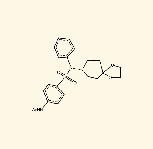 CC(=O)Nc1ccc(S(=O)(=O)N(c2ccccc2)N2CCC3(CC2)OCCO3)cc1